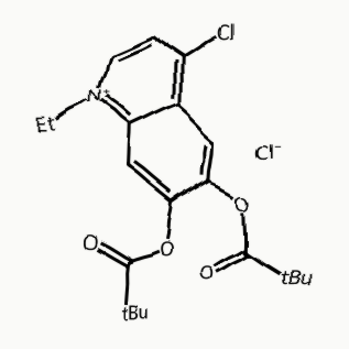 CC[n+]1ccc(Cl)c2cc(OC(=O)C(C)(C)C)c(OC(=O)C(C)(C)C)cc21.[Cl-]